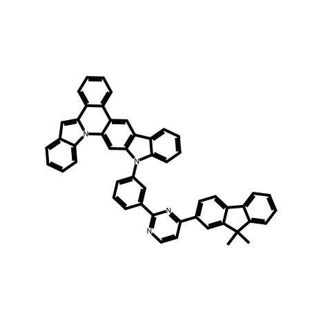 CC1(C)c2ccccc2-c2ccc(-c3ccnc(-c4cccc(-n5c6ccccc6c6cc7c8ccccc8c8cc9ccccc9n8c7cc65)c4)n3)cc21